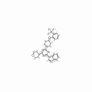 FC(F)(F)c1ccccc1OC1CCN(c2nc(N3CCOCC3)nc(-n3cnc4ccccc43)n2)CC1